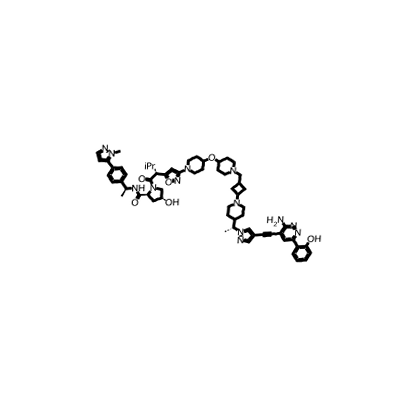 CC(C)[C@@H](C(=O)N1C[C@H](O)C[C@H]1C(=O)N[C@@H](C)c1ccc(-c2ccnn2C)cc1)c1cc(N2CCC(OC3CCN(CC4CC(N5CCC([C@@H](C)n6cc(C#Cc7cc(-c8ccccc8O)nnc7N)cn6)CC5)C4)CC3)CC2)no1